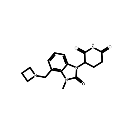 Cn1c(=O)n(C2CCC(=O)NC2=O)c2cccc(CN3C[CH]C3)c21